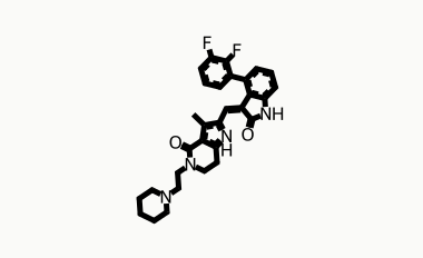 Cc1c(/C=C2\C(=O)Nc3cccc(-c4cccc(F)c4F)c32)[nH]c2c1C(=O)N(CCN1CCCCC1)CC2